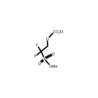 CCOC(=O)OCC(F)(F)S(=O)(=O)OC